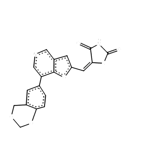 O=C1NC(=O)/C(=C\c2cc3cncc(-c4ccc5c(c4)COCO5)c3o2)S1